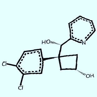 O[C@H](c1ccccn1)[C@]1(c2ccc(Cl)c(Cl)c2)C[C@H](O)C1